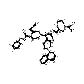 N#CCC1CN(c2nc(OCC3CN(C(=O)O)CCO3)nc3c2CCN(c2cccc4ccccc24)C3)CCN1C(=O)OCc1ccccc1